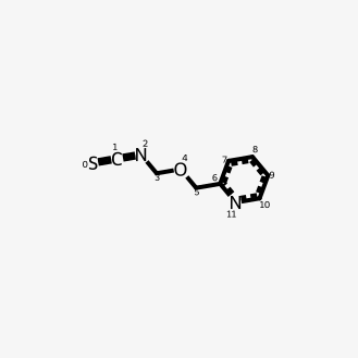 S=C=NCOCc1ccccn1